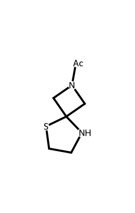 CC(=O)N1CC2(C1)NCCS2